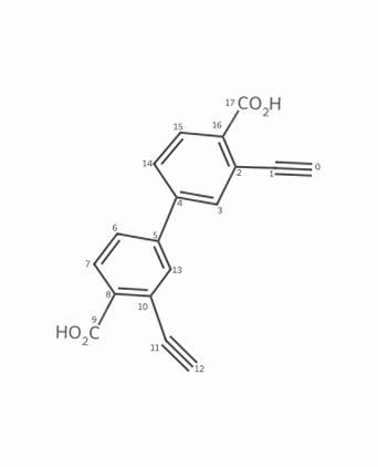 C#Cc1cc(-c2ccc(C(=O)O)c(C#C)c2)ccc1C(=O)O